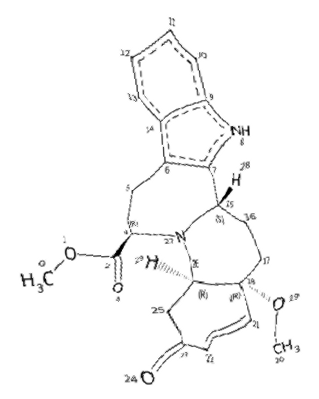 COC(=O)[C@H]1Cc2c([nH]c3ccccc23)[C@@H]2CC[C@@]3(OC)C=CC(=O)C[C@H]3N12